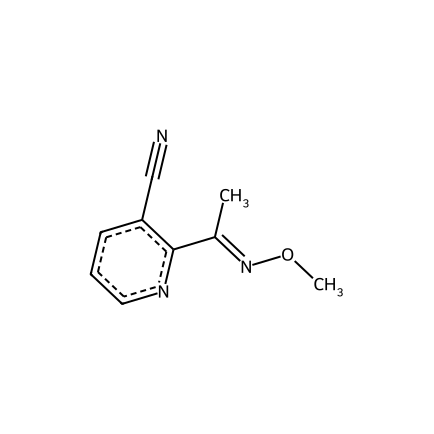 CO/N=C(\C)c1ncccc1C#N